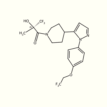 C[C@@](O)(C(=O)N1CCC(c2ccnn2-c2ccc(OCC(F)(F)F)cc2)CC1)C(F)(F)F